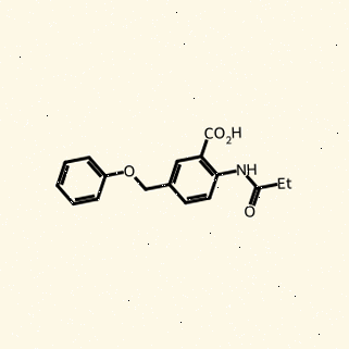 CCC(=O)Nc1ccc(COc2ccccc2)cc1C(=O)O